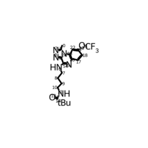 Cc1nnc2c(NCCCCNC(=O)C(C)(C)C)nc3ccc(OC(F)(F)F)cc3n12